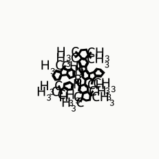 CC(C)(C)c1ccc(N2B3c4cc5c(cc4-n4c6cc7c(cc6c6c8c(c(c3c64)-c3cc4c(cc32)C(C)(C)CCC4(C)C)C(C)(C)c2ccccc2-8)C(C)(C)CCC7(C)C)C(C)(C)c2ccccc2-5)cc1